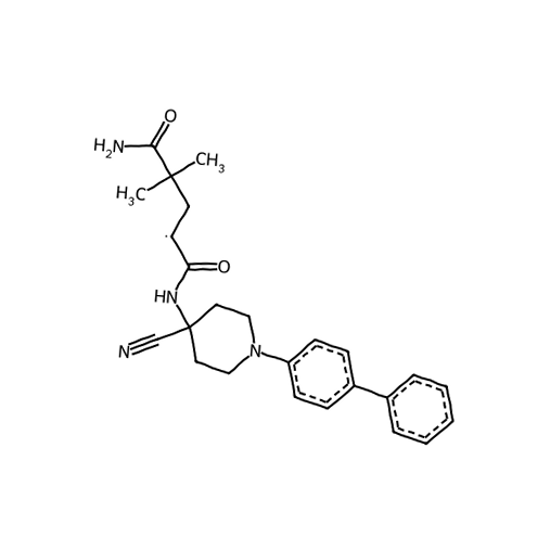 CC(C)(C[CH]C(=O)NC1(C#N)CCN(c2ccc(-c3ccccc3)cc2)CC1)C(N)=O